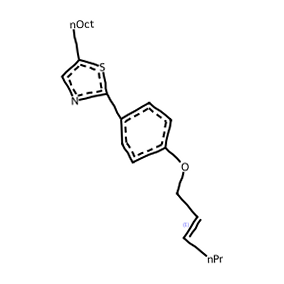 CCC/C=C/COc1ccc(-c2ncc(CCCCCCCC)s2)cc1